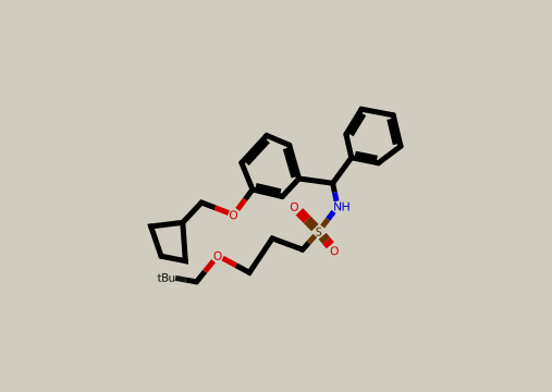 CC(C)(C)COCCCS(=O)(=O)NC(c1ccccc1)c1cccc(OCC2CCC2)c1